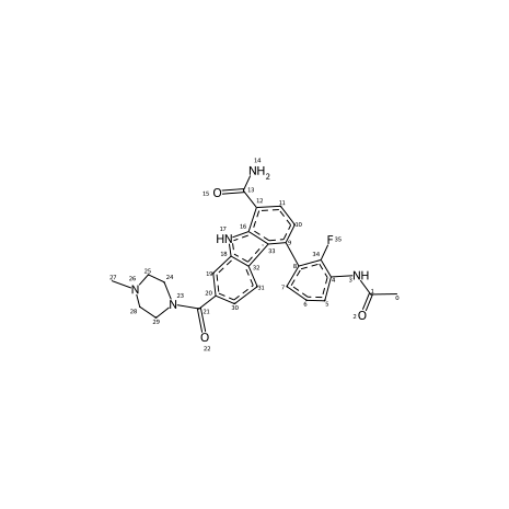 CC(=O)Nc1cccc(-c2ccc(C(N)=O)c3[nH]c4cc(C(=O)N5CCN(C)CC5)ccc4c23)c1F